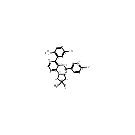 CC(C)c1ccc(C(=O)Nc2c(-c3cc(F)ccc3P)ncnc2N2CCC(F)(P)C2)cn1